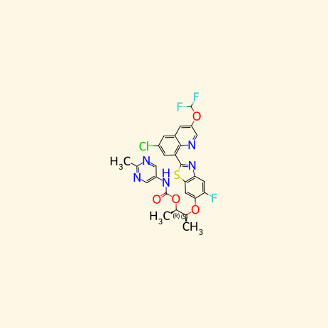 Cc1ncc(NC(=O)O[C@H](C)[C@H](C)Oc2cc3sc(-c4cc(Cl)cc5cc(OC(F)F)cnc45)nc3cc2F)cn1